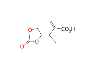 C=C(C(=O)O)C(C)C1COC(=O)O1